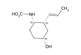 CC=C[C@@H]1C[C@H](O)CC[C@@H]1NC(=O)O